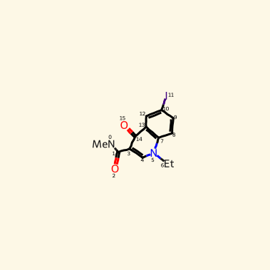 [CH2]NC(=O)c1cn(CC)c2ccc(I)cc2c1=O